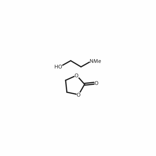 CNCCO.O=C1OCCO1